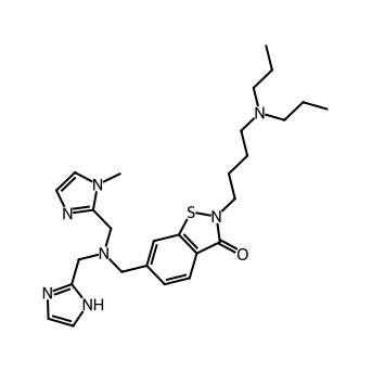 CCCN(CCC)CCCCn1sc2cc(CN(Cc3ncc[nH]3)Cc3nccn3C)ccc2c1=O